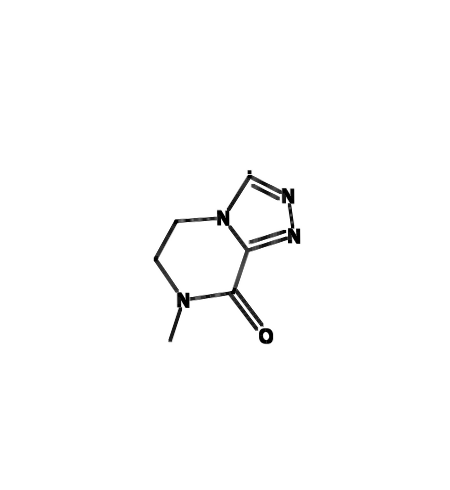 CN1CCn2[c]nnc2C1=O